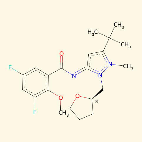 COc1c(F)cc(F)cc1C(=O)N=c1cc(C(C)(C)C)n(C)n1C[C@H]1CCCO1